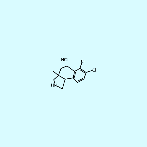 CC12CCc3c(ccc(Cl)c3Cl)C1CNC2.Cl